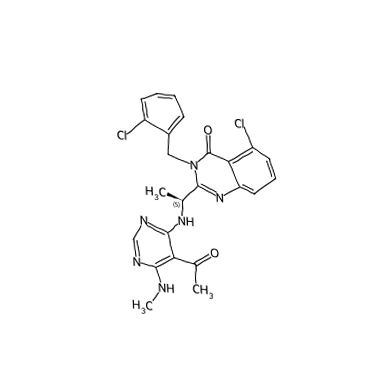 CNc1ncnc(N[C@@H](C)c2nc3cccc(Cl)c3c(=O)n2Cc2ccccc2Cl)c1C(C)=O